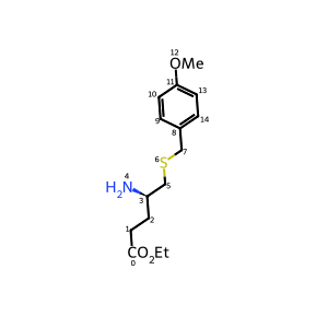 CCOC(=O)CC[C@@H](N)CSCc1ccc(OC)cc1